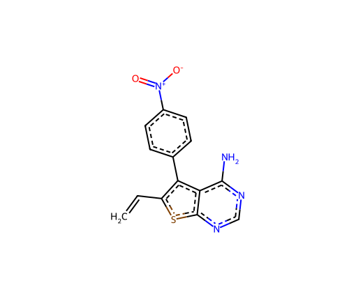 C=Cc1sc2ncnc(N)c2c1-c1ccc([N+](=O)[O-])cc1